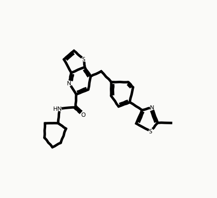 Cc1nc(-c2ccc(Cc3cc(C(=O)NC4CCCCC4)nc4ccsc34)cc2)cs1